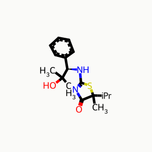 CC(C)C1(C)SC(N[C@H](c2ccccc2)C(C)(C)O)=NC1=O